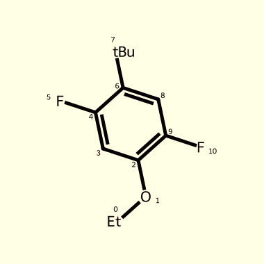 CCOc1cc(F)c(C(C)(C)C)cc1F